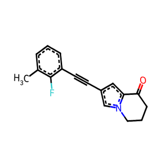 Cc1cccc(C#Cc2cc3n(c2)CCCC3=O)c1F